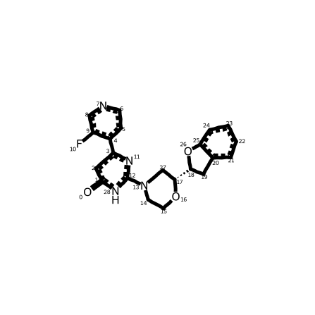 O=c1cc(-c2ccncc2F)nc(N2CCO[C@@H](C3Cc4ccccc4O3)C2)[nH]1